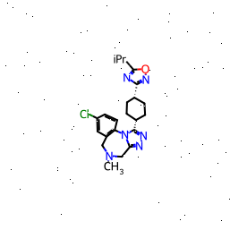 CC(C)c1nc([C@H]2CC[C@@H](c3nnc4n3-c3ccc(Cl)cc3CN(C)C4)CC2)no1